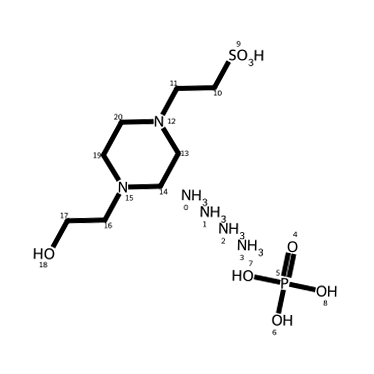 N.N.N.N.O=P(O)(O)O.O=S(=O)(O)CCN1CCN(CCO)CC1